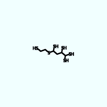 SCCSC(S)CC(S)C(S)S